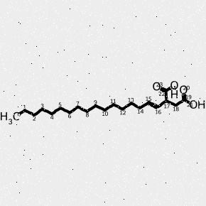 CCCCCCCCCCCCCCCC=CC(CC(=O)O)C(=O)O